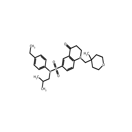 CCc1ccc(N(CC(C)C)S(=O)(=O)c2ccc3c(c2)C(=O)CCN3CC2(C)CCOCC2)cc1